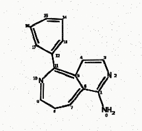 Nc1nccc2c1=CCC=NC=2c1ccccc1